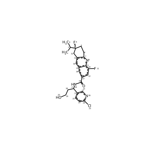 CC(C)[C@]1(F)CCc2nc3c(F)cc(C(=O)NC(CCO)c4ccc(Cl)nc4)cc3cc2C1